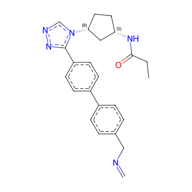 C=NCc1ccc(-c2ccc(-c3nncn3[C@@H]3CC[C@H](NC(=O)CC)C3)cc2)cc1